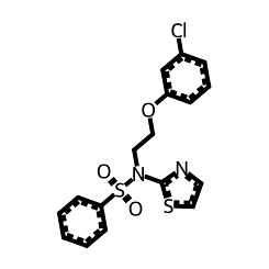 O=S(=O)(c1ccccc1)N(CCOc1cccc(Cl)c1)c1nccs1